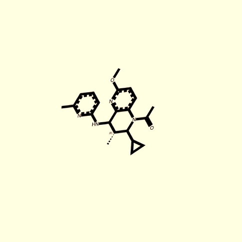 COc1ccc2c(n1)C(Nc1cccc(C)n1)[C@@H](C)C(C1CC1)N2C(C)=O